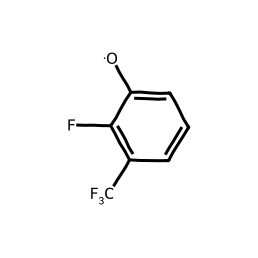 [O]c1cccc(C(F)(F)F)c1F